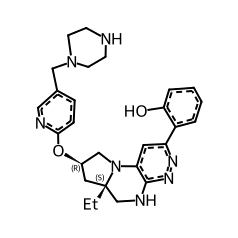 CC[C@]12CNc3nnc(-c4ccccc4O)cc3N1C[C@H](Oc1ccc(CN3CCNCC3)cn1)C2